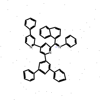 c1ccc(/N=C(/c2cc(-c3cc(-c4ccccc4)ccn3)cc(-c3cc(-c4ccccc4)cc(-c4ccccc4)c3)n2)c2cccc3ccccc23)cc1